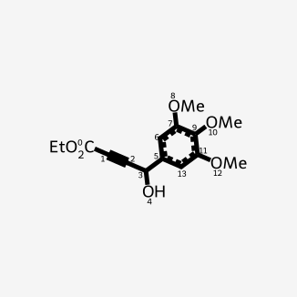 CCOC(=O)C#CC(O)c1cc(OC)c(OC)c(OC)c1